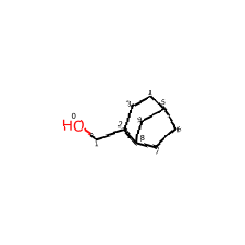 OCC1CCC2CCC1C2